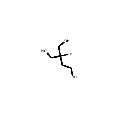 OCCC(Br)(CO)CO